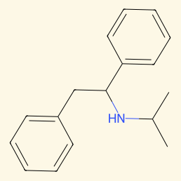 CC(C)NC(Cc1ccccc1)c1ccccc1